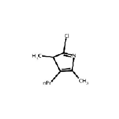 CCCC1=C(C)N=C(Cl)C1C